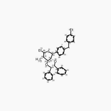 CCc1ccc(Cc2ccc([C@@H]3S[C@H](CC)[C@@H](C)[C@H](OCc4ccccc4)[C@H]3OCc3ccccc3)cc2)cc1